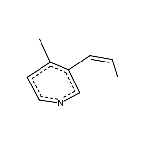 C/C=C\c1cnccc1C